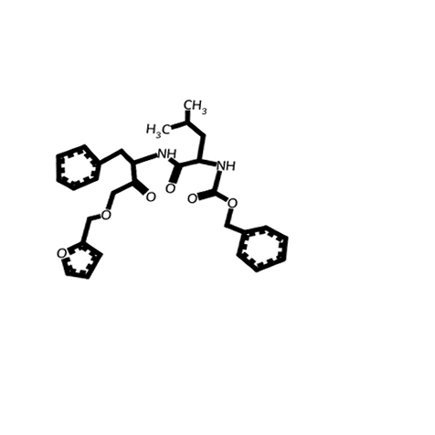 CC(C)CC(NC(=O)OCc1ccccc1)C(=O)NC(Cc1ccccc1)C(=O)COCc1ccco1